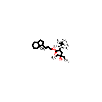 CCC(O)(CC)CC(C(=O)OCC=CC1CCC2CCCCC12C)[Si](C)(C)C(C)(C)C